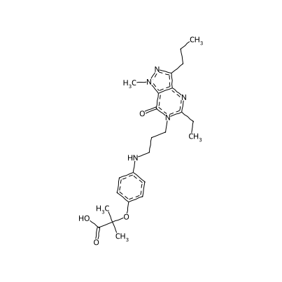 CCCc1nn(C)c2c(=O)n(CCCNc3ccc(OC(C)(C)C(=O)O)cc3)c(CC)nc12